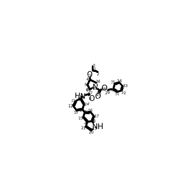 CC(C)OC1C[C@@H](C(=O)Nc2cccc(-c3ccc4[nH]ccc4c3)c2)N(C(=O)OCc2ccccc2)C1